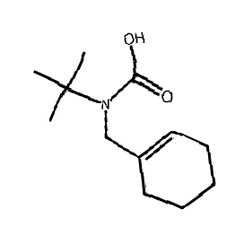 CC(C)(C)N(CC1=CCCCC1)C(=O)O